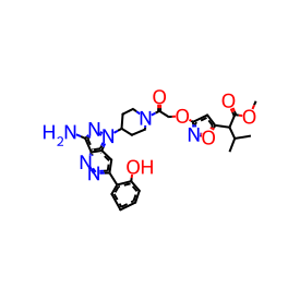 COC(=O)C(c1cc(OCC(=O)N2CCC(n3nc(N)c4nnc(-c5ccccc5O)cc43)CC2)no1)C(C)C